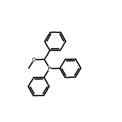 COC(c1ccccc1)P(c1ccccc1)c1ccccc1